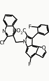 O=C(O)c1c(-c2ccccc2F)c2c3occc3c(F)cc2n1Cc1cc2ccccc2nc1Cl